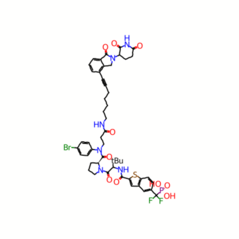 CC(C)(C)C(NC(=O)c1cc2cc(C(F)(F)P(=O)(O)O)ccc2s1)C(=O)N1CCC[C@H]1C(=O)N(CCC(=O)NCCCCCC#Cc1cccc2c1CN(C1CCC(=O)NC1=O)C2=O)c1ccc(Br)cc1